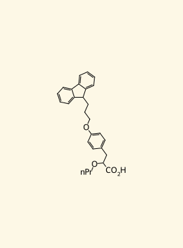 CCCOC(Cc1ccc(OCCCC2c3ccccc3-c3ccccc32)cc1)C(=O)O